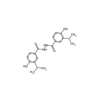 CC(C)c1cc(C(=O)NNC(=O)c2ccc(O)c(C(C)C)c2)ccc1O